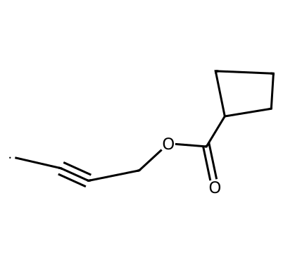 [CH2]C#CCOC(=O)C1CCC1